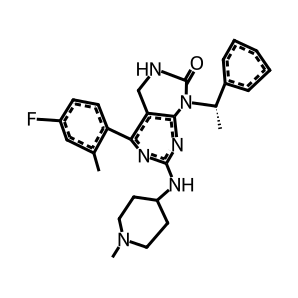 Cc1cc(F)ccc1-c1nc(NC2CCN(C)CC2)nc2c1CNC(=O)N2[C@@H](C)c1ccccc1